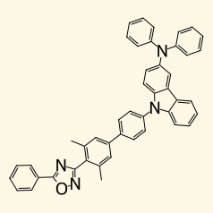 Cc1cc(-c2ccc(-n3c4ccccc4c4cc(N(c5ccccc5)c5ccccc5)ccc43)cc2)cc(C)c1-c1noc(-c2ccccc2)n1